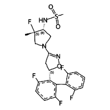 C[C@]1(F)CN(C2=NO[C@H](c3c(F)ccc(F)c3-c3c(F)cccc3F)C2)C[C@H]1NS(C)(=O)=O